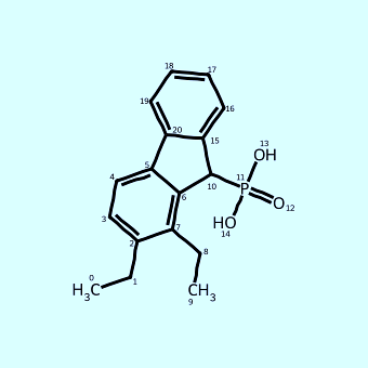 CCc1ccc2c(c1CC)C(P(=O)(O)O)c1ccccc1-2